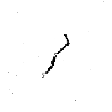 [CH2]CSCF